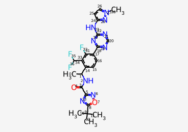 CC(NC(=O)c1noc(C(C)(C)C)n1)c1ccc(-c2ncnc(Nc3ccn(C)n3)n2)c(F)c1C(F)F